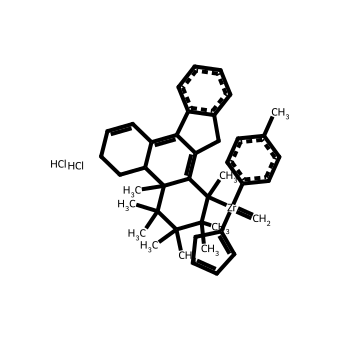 Cl.Cl.[CH2]=[Zr]([C]1=CC=CC1)([c]1ccc(C)cc1)[C]1(C)C2=C3Cc4ccccc4C3=C3C=CCCC3C2(C)C(C)(C)C(C)(C)C1(C)C